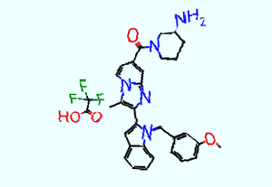 COc1cccc(Cn2c(-c3nc4cc(C(=O)N5CCC[C@@H](N)C5)ccn4c3C)cc3ccccc32)c1.O=C(O)C(F)(F)F